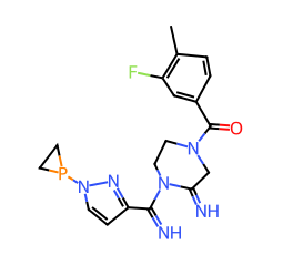 Cc1ccc(C(=O)N2CCN(C(=N)c3ccn(P4CC4)n3)C(=N)C2)cc1F